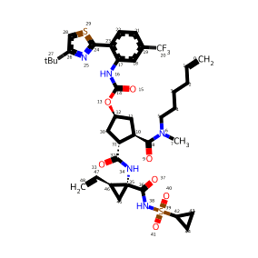 C=CCCCCN(C)C(=O)[C@@H]1C[C@H](OC(=O)Nc2cc(C(F)(F)F)ccc2-c2nc(C(C)(C)C)cs2)C[C@H]1C(=O)N[C@]1(C(=O)NS(=O)(=O)C2CC2)C[C@H]1C=C